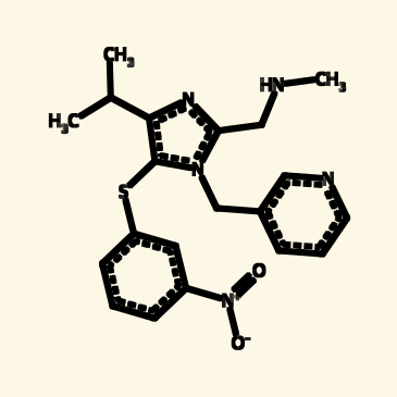 CNCc1nc(C(C)C)c(Sc2cccc([N+](=O)[O-])c2)n1Cc1cccnc1